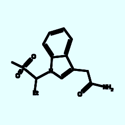 CCC(n1cc(CC(N)=O)c2ccccc21)S(C)(=O)=O